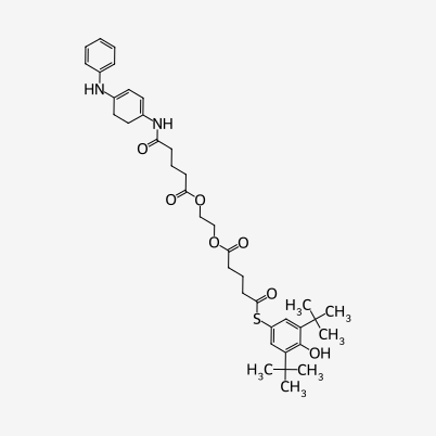 CC(C)(C)c1cc(SC(=O)CCCC(=O)OCCOC(=O)CCCC(=O)NC2=CC=C(Nc3ccccc3)CC2)cc(C(C)(C)C)c1O